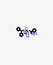 O=C1[C@@H](Cc2c[nH]c3ccccc23)NCCN1CC(c1ccccc1)c1ccccc1